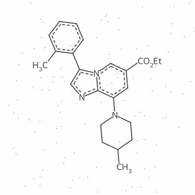 CCOC(=O)c1cc(N2CCC(C)CC2)c2ncc(-c3ccccc3C)n2c1